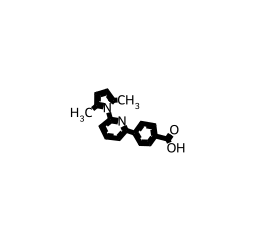 Cc1ccc(C)n1-c1cccc(-c2ccc(C(=O)O)cc2)n1